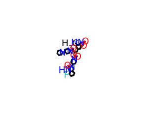 Cc1cc(CC(OC(=O)N2CCC(N3Cc4cccc(F)c4NC3=O)CC2)C(=O)N2CCC(N3CCCCC3)CC2)cc2oc(=O)[nH]c12